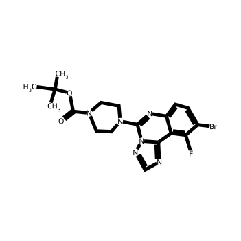 CC(C)(C)OC(=O)N1CCN(c2nc3ccc(Br)c(F)c3c3ncnn23)CC1